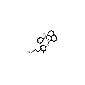 O=CCCc1ccc(OCc2cccc3c2N(S(=O)(=O)c2ccccc2)CCC3)cc1F